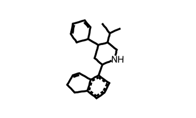 CC(C)C1CNC(c2cccc3c2C=CCC3)CC1C1C=CC=CC1